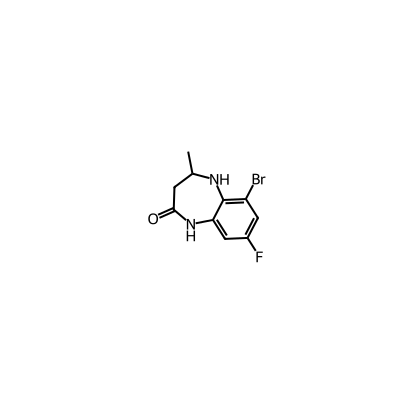 CC1CC(=O)Nc2cc(F)cc(Br)c2N1